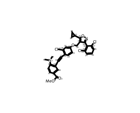 COC(=O)c1ccc(N(C)C)c(C#Cc2ccc(OCc3c(-c4c(Cl)cccc4Cl)noc3C3CC3)cc2Cl)c1